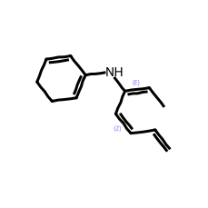 C=C/C=C\C(=C/C)NC1=CCCC=C1